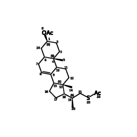 CC(=O)O[C@H]1CC[C@@]2(C)C(CC=C3C2CC[C@@]2(C)C3CCC2[C@H](C)CSC(C)=O)C1